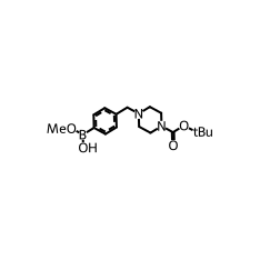 COB(O)c1ccc(CN2CCN(C(=O)OC(C)(C)C)CC2)cc1